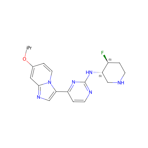 CC(C)Oc1ccn2c(-c3ccnc(N[C@H]4CNCC[C@@H]4F)n3)cnc2c1